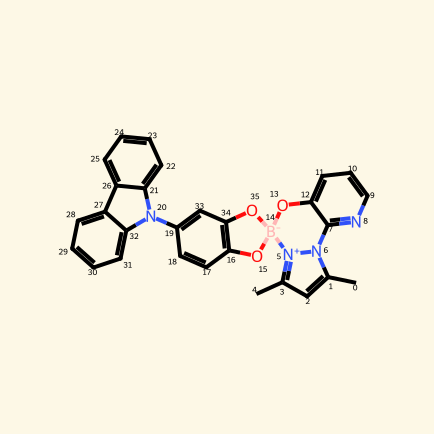 Cc1cc(C)[n+]2n1-c1ncccc1O[B-]21Oc2ccc(-n3c4ccccc4c4ccccc43)cc2O1